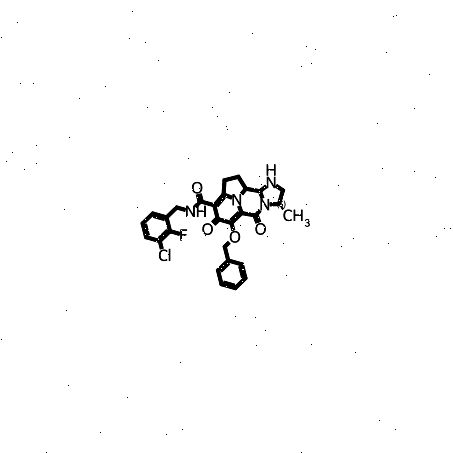 C[C@H]1CNC2C3CCc4c(C(=O)NCc5cccc(Cl)c5F)c(=O)c(OCc5ccccc5)c(n43)C(=O)N21